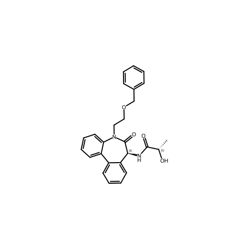 C[C@H](O)C(=O)N[C@@H]1C(=O)N(CCOCc2ccccc2)c2ccccc2-c2ccccc21